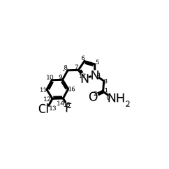 NC(=O)Cn1ccc([CH]c2ccc(Cl)c(F)c2)n1